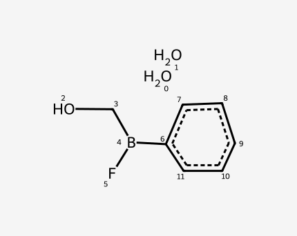 O.O.OCB(F)c1ccccc1